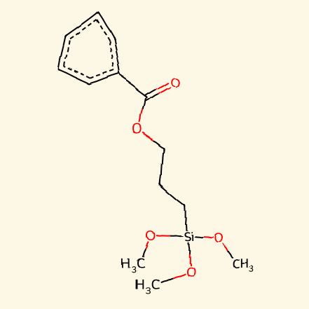 CO[Si](CCCOC(=O)c1ccccc1)(OC)OC